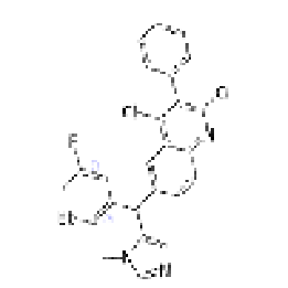 CC/C=C(\C=C(/C)F)C(c1ccc2nc(Cl)c(-c3ccccc3)c(Cl)c2c1)c1cncn1C